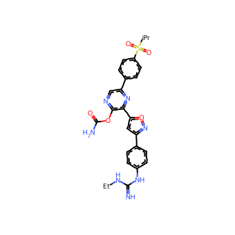 CCNC(=N)Nc1ccc(-c2cc(-c3nc(-c4ccc(S(=O)(=O)C(C)C)cc4)cnc3OC(N)=O)on2)cc1